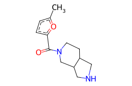 Cc1ccc(C(=O)N2CCC3CNCC3C2)o1